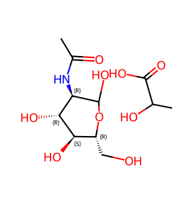 CC(=O)N[C@H]1C(O)O[C@H](CO)[C@@H](O)[C@@H]1O.CC(O)C(=O)O